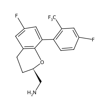 NC[C@H]1CCc2cc(F)cc(-c3ccc(F)cc3C(F)(F)F)c2O1